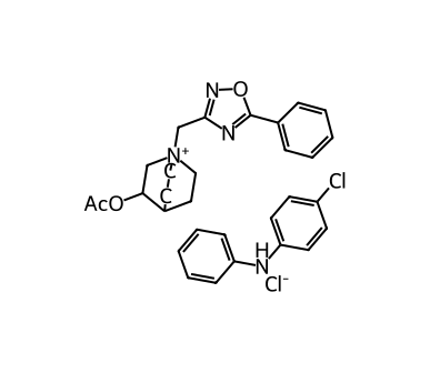 CC(=O)OC1C[N+]2(Cc3noc(-c4ccccc4)n3)CCC1CC2.Clc1ccc(Nc2ccccc2)cc1.[Cl-]